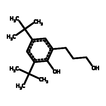 CC(C)(C)c1cc(CCCO)c(O)c(C(C)(C)C)c1